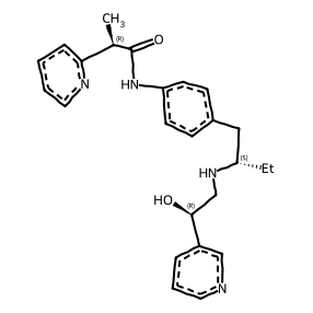 CC[C@@H](Cc1ccc(NC(=O)[C@H](C)c2ccccn2)cc1)NC[C@H](O)c1cccnc1